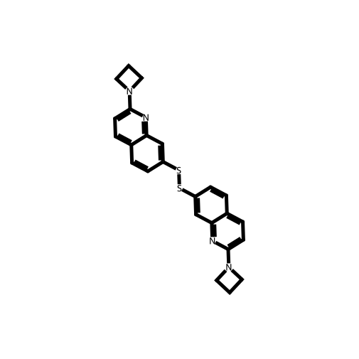 c1cc2ccc(N3CCC3)nc2cc1SSc1ccc2ccc(N3CCC3)nc2c1